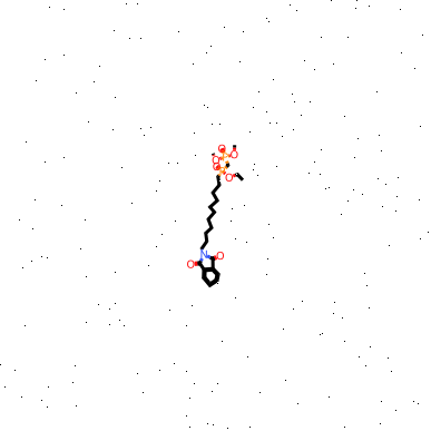 CCOP(=O)(CCCCCCCCCCCN1C(=O)c2ccccc2C1=O)CP(=O)(OC)OC